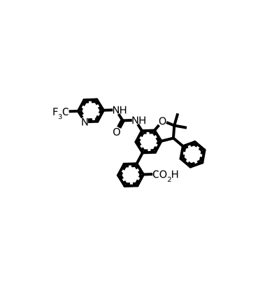 CC1(C)Oc2c(NC(=O)Nc3ccc(C(F)(F)F)nc3)cc(-c3ccccc3C(=O)O)cc2C1c1ccccc1